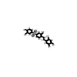 Cc1ccc(S(=O)(=O)c2ccc(CCc3cc(C)c(C)cc3C)c(C)c2)cc1C